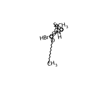 Br.CCCCCCCCCCCCCCOc1cccc(OCC(=O)Nc2ccccc2CN2CSC=C2C)c1